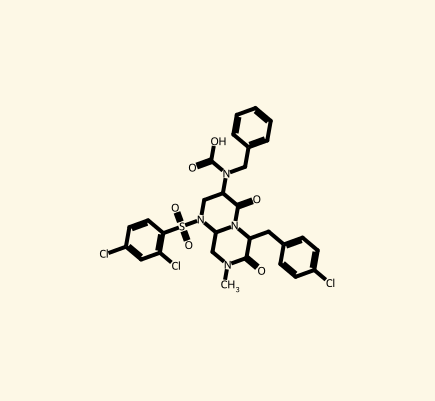 CN1CC2N(C(=O)C(N(Cc3ccccc3)C(=O)O)CN2S(=O)(=O)c2ccc(Cl)cc2Cl)C(Cc2ccc(Cl)cc2)C1=O